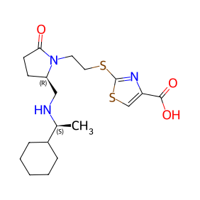 C[C@H](NC[C@H]1CCC(=O)N1CCSc1nc(C(=O)O)cs1)C1CCCCC1